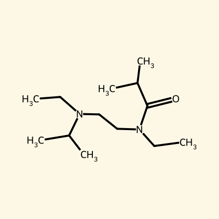 CCN(CCN(CC)C(C)C)C(=O)C(C)C